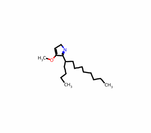 CCCCCCCCC(CCCC)C1=NCC=C1OC